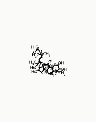 CC(=O)OC(C)(C)CCC(=O)[C@](C)(O)[C@H]1[C@H](O)C[C@@]2(C)[C@@H]3CC=C4[C@@H](C[C@H](O)[C@@H](O)C4(C)C)[C@]3(C)C(=O)C[C@]12C